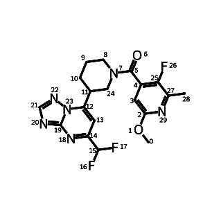 COc1cc(C(=O)N2CCCC(c3cc(C(F)F)nc4ncnn34)C2)c(F)c(C)n1